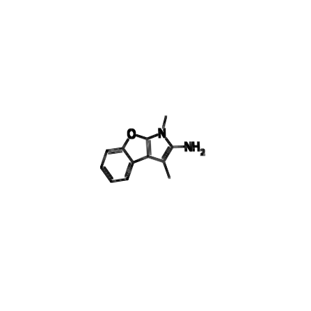 Cc1c(N)n(C)c2oc3ccccc3c12